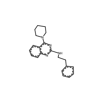 c1ccc(CCNc2nc(N3CCCCC3)c3ccccc3n2)cc1